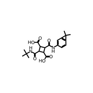 CC(C)(C)NC(=O)C1C(C(=O)O)C(C(=O)Nc2ccc3c(c2)C3(C)C)C1C(=O)O